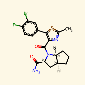 Cc1nc(C(=O)N2[C@H](C(N)=O)C[C@@H]3CCC[C@@H]32)c(-c2ccc(F)c(Br)c2)s1